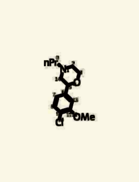 CCCN1CCOC(c2ccc(Cl)c(OC)c2)C1